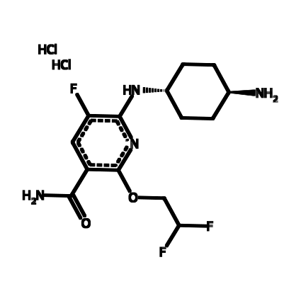 Cl.Cl.NC(=O)c1cc(F)c(N[C@H]2CC[C@H](N)CC2)nc1OCC(F)F